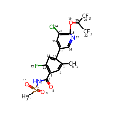 Cc1cc(C(=O)NS(C)(=O)=O)c(F)cc1-c1cnc(OC(C(F)(F)F)C(F)(F)F)c(Cl)c1